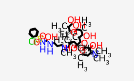 CC[C@H](OC(O)C(C)C(O)C(C)C(O[C@@H]1O[C@H](C)CC(N(C)C)C1O)[C@@](C)(O)C[C@H](C)CN(C)CCCNC(O)NS(=O)(=O)c1ccccc1Cl)C(C)CO